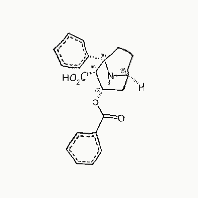 CN1[C@H]2CC[C@]1(c1ccccc1)[C@@H](C(=O)O)[C@@H](OC(=O)c1ccccc1)C2